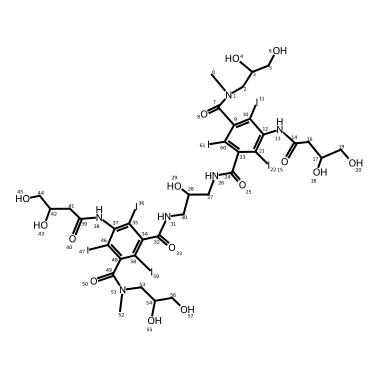 CN(CC(O)CO)C(=O)c1c(I)c(NC(=O)CC(O)CO)c(I)c(C(=O)NCC(O)CNC(=O)c2c(I)c(NC(=O)CC(O)CO)c(I)c(C(=O)N(C)CC(O)CO)c2I)c1I